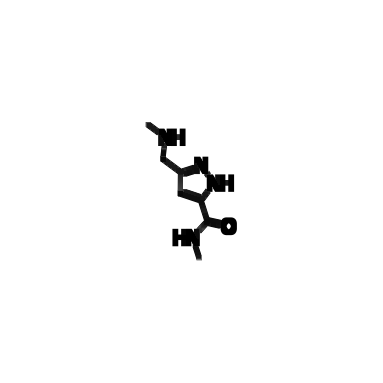 CNCc1cc(C(=O)NC)[nH]n1